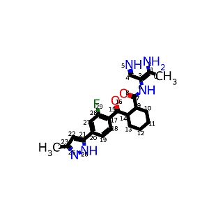 C/C(N)=C(/C=N)NC(=O)C1CCCCC1C(=O)c1ccc(-c2cc(C)n[nH]2)cc1F